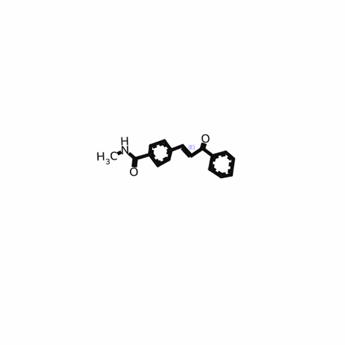 CNC(=O)c1ccc(/C=C/C(=O)c2ccccc2)cc1